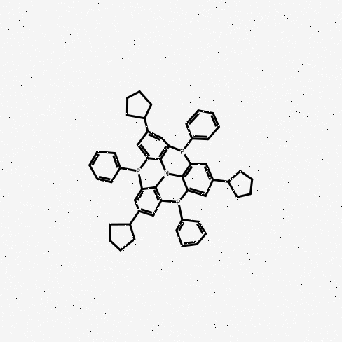 c1ccc(P2c3cc(C4CCCC4)cc4c3N3c5c2cc(C2CCCC2)cc5P(c2ccccc2)c2cc(C5CCCC5)cc(c23)P4c2ccccc2)cc1